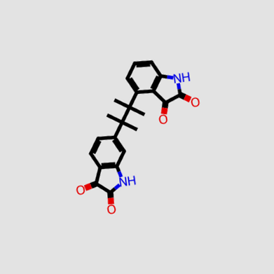 CC(C)(c1ccc2c(c1)NC(=O)C2=O)C(C)(C)c1cccc2c1C(=O)C(=O)N2